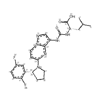 CC(C)C[C@H](NC(=O)Nc1cnn2ccc(N3CCC[C@@H]3c3cc(F)ccc3F)nc12)C(=O)O